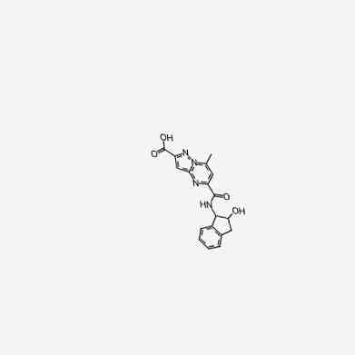 Cc1cc(C(=O)NC2c3ccccc3CC2O)nc2cc(C(=O)O)nn12